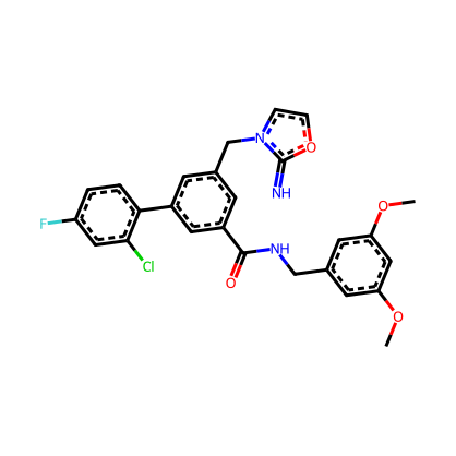 COc1cc(CNC(=O)c2cc(Cn3ccoc3=N)cc(-c3ccc(F)cc3Cl)c2)cc(OC)c1